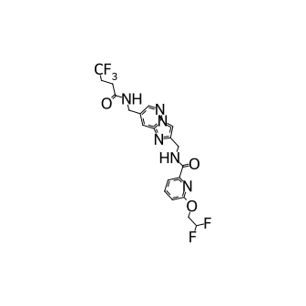 O=C(CCC(F)(F)F)NCc1cnn2cc(CNC(=O)c3cccc(OCC(F)F)n3)nc2c1